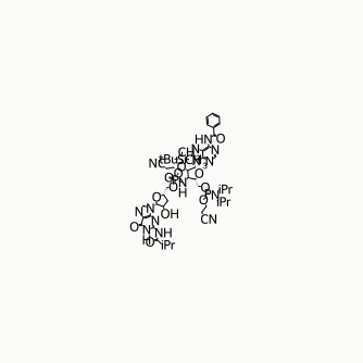 CC(C)C(=O)Nc1nc2c(ncn2[C@@H]2O[C@H](COP(=O)(N[C@H]3[C@@H](O[Si](C)(C)C(C)(C)C)[C@H](n4cnc5c(NC(=O)c6ccccc6)ncnc54)O[C@@H]3COP(OCCC#N)N(C(C)C)C(C)C)OCCC#N)C[C@H]2O)c(=O)[nH]1